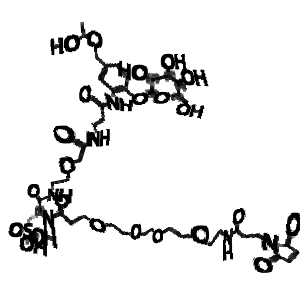 CC(O)OCc1ccc(O[C@@H]2O[C@H](CO)[C@H](O)[C@H](O)[C@H]2O)c(NC(=O)CCNC(=O)COCCNC(=O)[C@@H](CS(=O)(=O)O)NC(=O)CCOCCOCCOCCOCCNC(=O)CCN2C(=O)C=CC2=O)c1